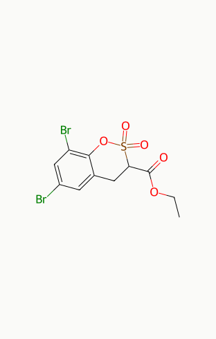 CCOC(=O)C1Cc2cc(Br)cc(Br)c2OS1(=O)=O